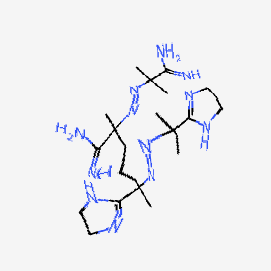 CC(C)(N=NC(C)(CCC(C)(N=NC(C)(C)C1=NCCN1)C1=NCCN1)C(=N)N)C(=N)N